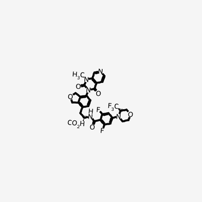 Cn1c(=O)n(-c2ccc(C[C@H](NC(=O)c3c(F)cc(N4CCOC[C@@H]4C(F)(F)F)cc3F)C(=O)O)c3c2COC3)c(=O)c2ccncc21